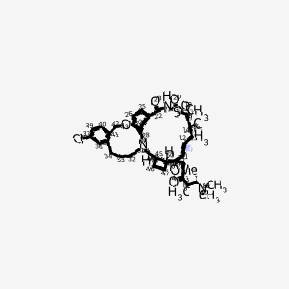 CO[C@@]1(CC(=O)[C@@H](C)CN(C)C)/C=C/C[C@H](C)[C@@H](C)S(=O)(=O)NC(=O)c2ccc3c(c2)N(CCCCc2cc(Cl)ccc2CO3)C[C@@H]2CC[C@H]21